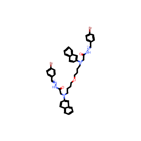 O=C(CN(CCCCOCCCCN(CC(=O)N/N=C/c1ccc(Br)cc1)c1ccc2ccccc2c1)c1ccc2ccccc2c1)N/N=C/c1ccc(Br)cc1